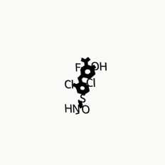 CNC(=O)CSc1cc(Cl)c(Cc2ccc(O)c(C(C)C)c2F)c(Cl)c1